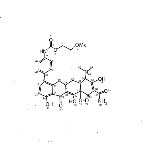 COCCOC(=O)Nc1ccc(-c2ccc(O)c3c2CC2CC4C(N(C)C)C(O)=C(C(N)=O)C(=O)C4(O)C(O)=C2C3=O)cc1